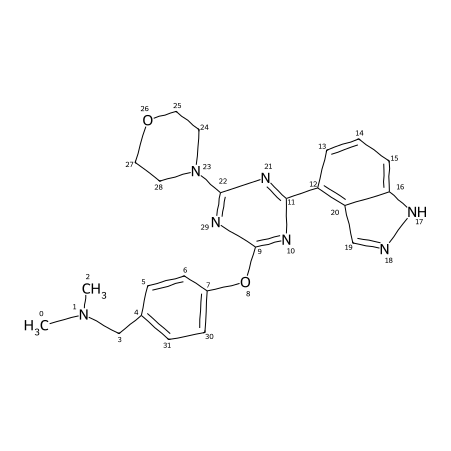 CN(C)Cc1ccc(Oc2nc(-c3cccc4[nH]ncc34)nc(N3CCOCC3)n2)cc1